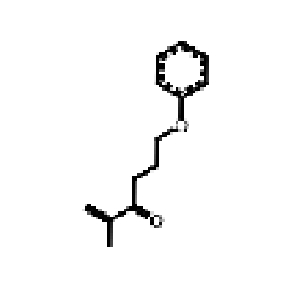 C=C(C)C(=O)CCCOc1ccccc1